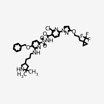 CC1(C)CC(CCCNc2nc(S(=O)(=O)NC(=O)c3ccc(-n4ccc(OCCCC5(C(F)(F)F)CC5)n4)nc3Cl)ccc2OCc2ccccc2)CN1